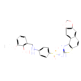 COc1cccc(CNc2ccc(S(=O)(=O)Nc3nc4c(ccc5cc6c(cc54)OCO6)s3)cc2)c1O